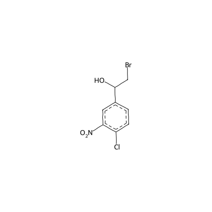 O=[N+]([O-])c1cc(C(O)CBr)ccc1Cl